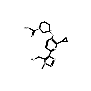 COC(=O)[C@H]1CCC[C@H](Oc2ccc(-c3nnn(C)c3CN)nc2C2CC2)C1